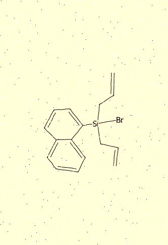 C=CC[Si](Br)(CC=C)c1cccc2ccccc12